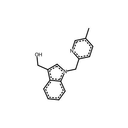 Cc1ccc(Cn2cc(CO)c3ccccc32)nc1